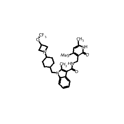 CSc1cc(C)[nH]c(=O)c1CNC(=O)c1c(C)n(CC2CCC(N3CC(OC(F)(F)F)C3)CC2)c2ccccc12